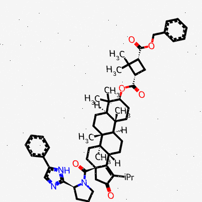 CC(C)C1=C2[C@H]3CC[C@@H]4[C@@]5(C)CC[C@H](OC(=O)[C@H]6C[C@@H](C(=O)OCc7ccccc7)C6(C)C)C(C)(C)[C@@H]5CC[C@@]4(C)[C@]3(C)CC[C@@]2(C(=O)N2CCC[C@H]2c2ncc(-c3ccccc3)[nH]2)CC1=O